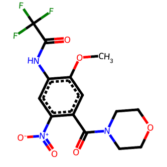 COc1cc(C(=O)N2CCOCC2)c([N+](=O)[O-])cc1NC(=O)C(F)(F)F